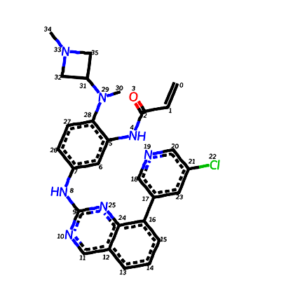 C=CC(=O)Nc1cc(Nc2ncc3cccc(-c4cncc(Cl)c4)c3n2)ccc1N(C)C1CN(C)C1